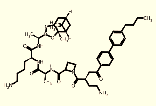 CCCCc1ccc(-c2ccc(C(=O)C[C@@H](CCN)C(=O)N3CCC3C(=O)N[C@@H](C)C(=O)N[C@@H](CCCCN)C(=O)N[C@@H](C)B3OC4C[C@@H]5C[C@@H](C5(C)C)[C@]4(C)O3)cc2)cc1